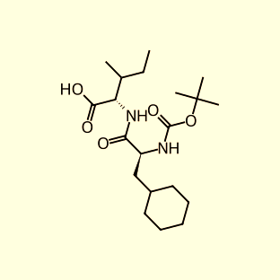 CCC(C)[C@H](NC(=O)[C@H](CC1CCCCC1)NC(=O)OC(C)(C)C)C(=O)O